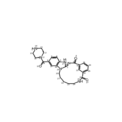 O=C1/N=C2\Nc3ccc(C(=O)N4CCNCC4)cc3N2CCCCCNC(=O)c2cccc1c2